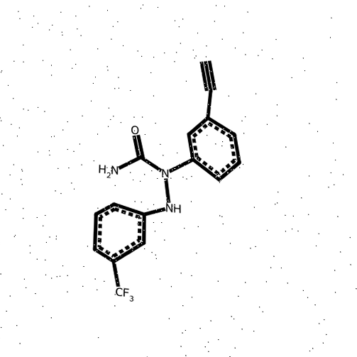 C#Cc1cccc(N(Nc2cccc(C(F)(F)F)c2)C(N)=O)c1